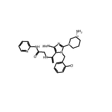 C=C(NCC(=O)Nc1ccccn1)c1c(NC)nc(N2CCC[C@@H](N)C2)n1Cc1ccccc1Cl